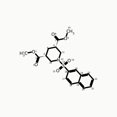 COC(=O)[C@@H]1C[C@H](C(=O)OC)CN(S(=O)(=O)c2ccc3ccccc3c2)C1